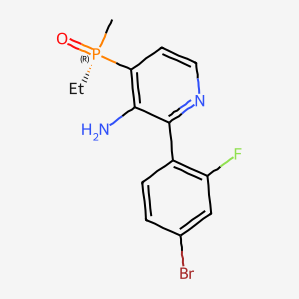 CC[P@@](C)(=O)c1ccnc(-c2ccc(Br)cc2F)c1N